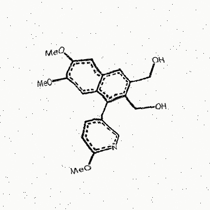 COc1ccc(-c2c(CO)c(CO)cc3cc(OC)c(OC)cc23)cn1